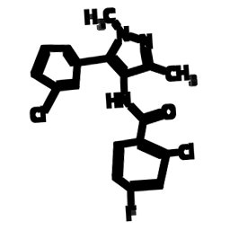 Cc1nn(C)c(-c2cccc(Cl)c2)c1NC(=O)c1ccc(F)cc1Cl